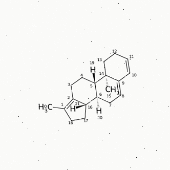 CC1=C2CC[C@H]3[C@@H](CC=C4C=[C]CC[C@@]43C)[C@@H]2CC1